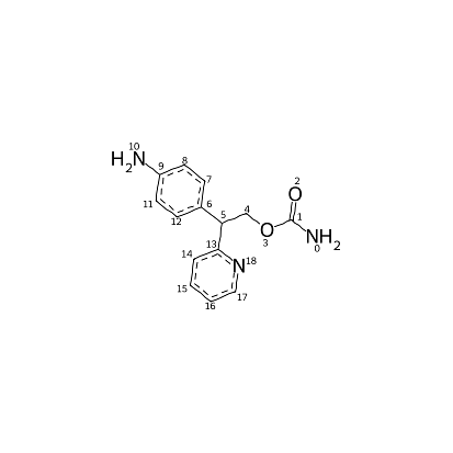 NC(=O)OCC(c1ccc(N)cc1)c1ccccn1